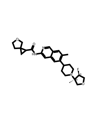 Cc1cc2cnc(NC(=O)C3CC34CCOC4)cc2cc1C1CCN([C@]2(C)COC[C@@H]2F)CC1